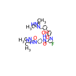 Cc1cc(C(=O)N[C@H]2CC[C@@H](NC(=O)c3cc(F)cnc3Oc3cccc(-c4cccc(CN5C[C@@H](C)N[C@@H](C)C5)c4O)c3)CC2)nn1C